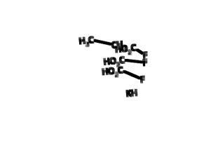 CC.O=C(O)F.O=C(O)F.O=C(O)F.[KH]